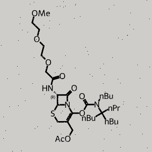 CCCCN(C(=O)OC1=C(COC(C)=O)CSC2[C@H](NC(=O)COCCOCCOC)C(=O)N12)C(CCC)(CCCC)CCCC